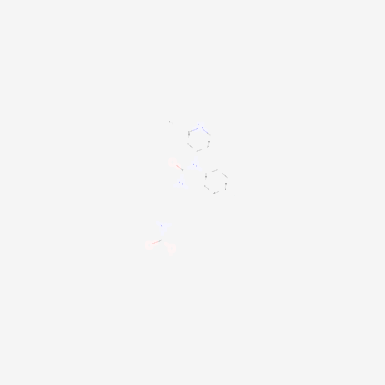 CC(C)(C)OC(=O)N1CCC(CN2Cc3cc(F)ccc3N(c3ccnc(C#N)c3)C2=O)CC1